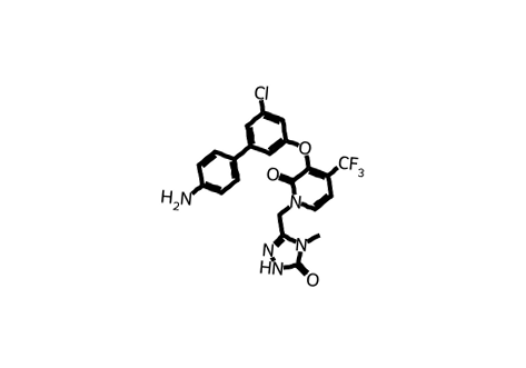 Cn1c(Cn2ccc(C(F)(F)F)c(Oc3cc(Cl)cc(-c4ccc(N)cc4)c3)c2=O)n[nH]c1=O